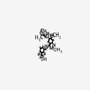 COc1cc2nc(C)nc(NCc3cccc(C(F)(F)CO)c3F)c2cc1OCC(C)(C)OC